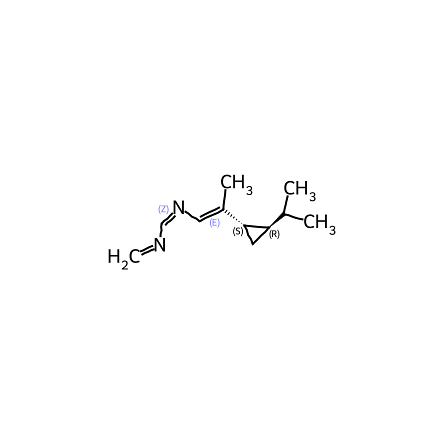 C=N/C=N\C=C(/C)[C@H]1C[C@@H]1C(C)C